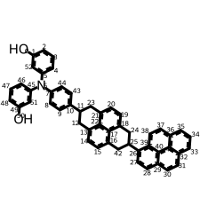 Oc1cccc(N(c2ccc(C3Cc4ccc5c6c(ccc(c46)C3)CC(c3ccc4ccc6cccc7ccc3c4c67)C5)cc2)c2cccc(O)c2)c1